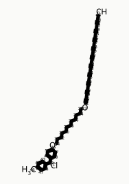 C#CC#CC#CC#CC#CC#CC#CC#CC#CC#CC#COCCCCCCCCCCCCOc1ccc(C(Cl)c2ccc(C)cc2)cc1